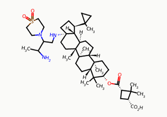 CC(N)C(CN[C@]12CC[C@@H](C3(C)CC3)[C@@H]1[C@H]1CC[C@@H]3[C@@]4(C)CC[C@H](OC(=O)[C@H]5C[C@@H](C(=O)O)C5(C)C)C(C)(C)[C@@H]4CC[C@@]3(C)[C@]1(C)CC2)N1CCS(=O)(=O)CC1